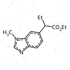 CCOC(=O)C(CC)c1ccc2ncn(C)c2c1